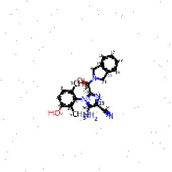 Cc1ccc(O)c(C)c1-n1c(C(=O)N2Cc3ccccc3C2)nc(C#N)c1N